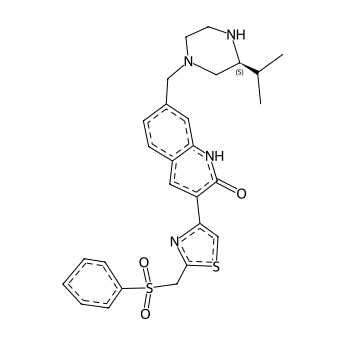 CC(C)[C@H]1CN(Cc2ccc3cc(-c4csc(CS(=O)(=O)c5ccccc5)n4)c(=O)[nH]c3c2)CCN1